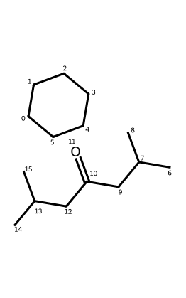 C1CCCCC1.CC(C)CC(=O)CC(C)C